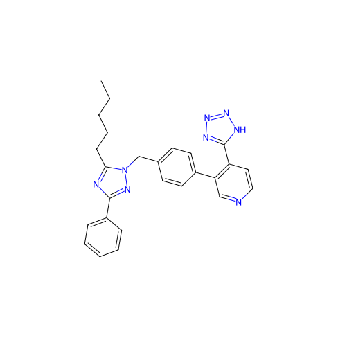 CCCCCc1nc(-c2ccccc2)nn1Cc1ccc(-c2cnccc2-c2nnn[nH]2)cc1